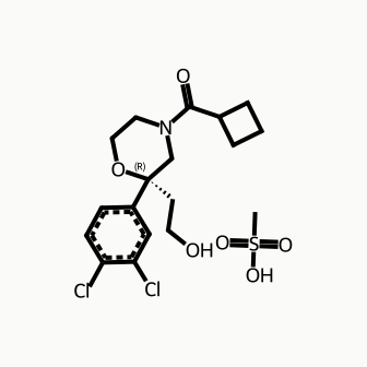 CS(=O)(=O)O.O=C(C1CCC1)N1CCO[C@](CCO)(c2ccc(Cl)c(Cl)c2)C1